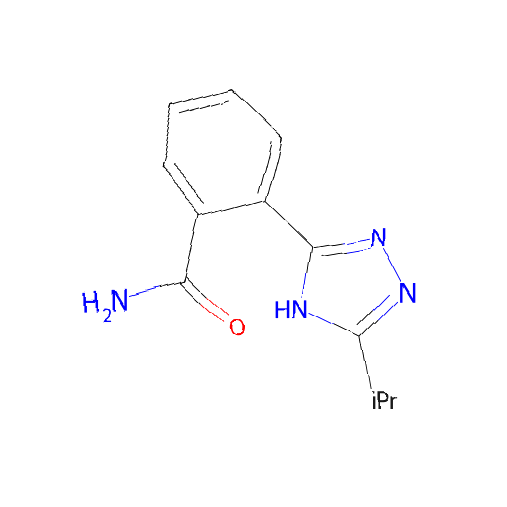 CC(C)c1nnc(-c2ccccc2C(N)=O)[nH]1